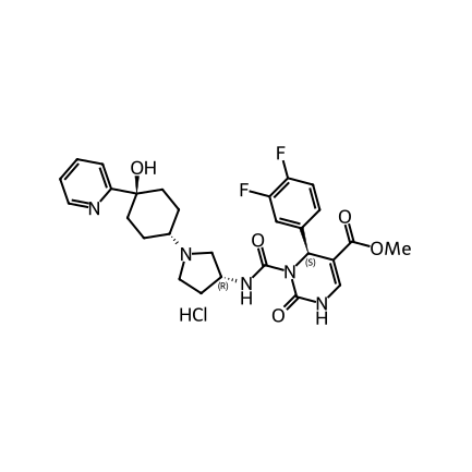 COC(=O)C1=CNC(=O)N(C(=O)N[C@@H]2CCN([C@H]3CC[C@@](O)(c4ccccn4)CC3)C2)[C@H]1c1ccc(F)c(F)c1.Cl